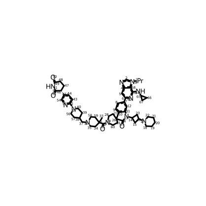 CC(C)n1cnc2cc(-c3ccc4c(c3)N(C3CC(N5CCCCC5)C3)C(=O)C43CCN(C(=O)C4(C)CCN(CC5CCN(c6ccc([C@H]7CCC(=O)NC7=O)cn6)CC5)CC4)CC3)nc(NC3CC3)c21